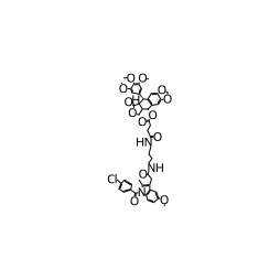 COc1ccc2c(c1)c(CC(=O)NCCCCNC(=O)CCC(=O)O[C@@H]1c3cc4c(cc3[C@H](c3cc(OC)c(OC)c(OC)c3)[C@@H]3C(=O)OCC13)OCO4)c(C)n2C(=O)c1ccc(Cl)cc1